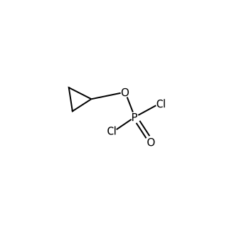 O=P(Cl)(Cl)OC1CC1